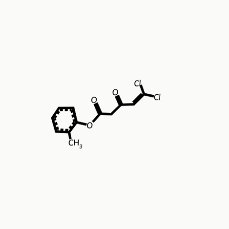 Cc1ccccc1OC(=O)CC(=O)C=C(Cl)Cl